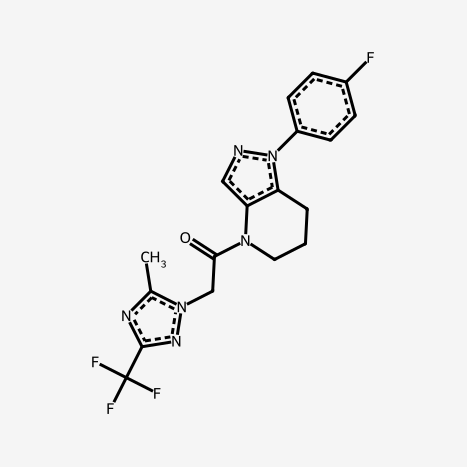 Cc1nc(C(F)(F)F)nn1CC(=O)N1CCCc2c1cnn2-c1ccc(F)cc1